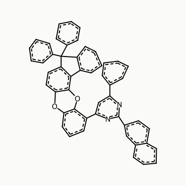 c1ccc(-c2cc(-c3cccc4c3Oc3c(ccc5c3-c3ccccc3C5(c3ccccc3)c3ccccc3)O4)nc(-c3ccc4ccccc4c3)n2)cc1